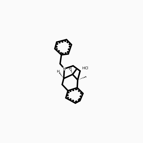 C[C@@H]1[C@H]2Cc3ccccc3[C@]1(C)CCN2Cc1ccccc1.Cl